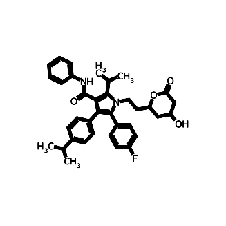 CC(C)c1ccc(-c2c(C(=O)Nc3ccccc3)c(C(C)C)n(CCC3CC(O)CC(=O)O3)c2-c2ccc(F)cc2)cc1